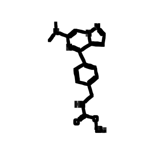 CN(C)c1cn2nccc2c(-c2ccc(CNC(=O)OC(C)(C)C)cc2)n1